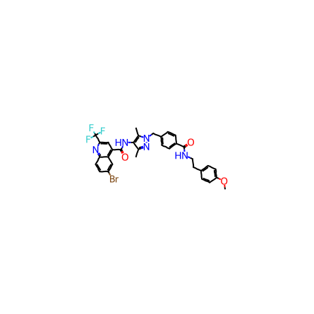 COc1ccc(CCNC(=O)c2ccc(Cn3nc(C)c(NC(=O)c4cc(C(F)(F)F)nc5ccc(Br)cc45)c3C)cc2)cc1